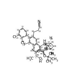 C[C@@H](O)c1nc2c(F)c(-c3cccc(Cl)c3Cl)c(CCC#N)cc2c(N[C@H]2[C@@H]3C[C@H]2N(C(=O)OC(C)(C)C)C3)c1I